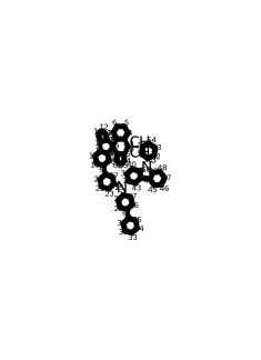 CC1(C)c2ccccc2C2(c3ccccc3-c3ccc(-c4cccc(N(c5ccc(-c6ccccc6)cc5)c5ccc6c(c5)c5ccccc5n6-c5ccccc5)c4)cc32)c2ccccc21